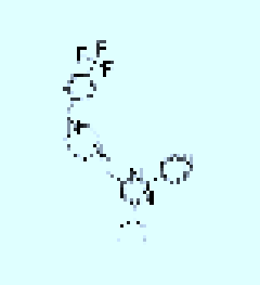 CCC(CC)c1cc(CCN2CCCN(Cc3ccc(C(F)(F)F)cc3)CC2)nc(-c2ccncc2)n1